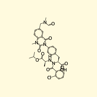 CC(C)OC(=O)[C@H](C)NN(C(=O)c1c(Cl)cccc1Cl)[C@@H](Cc1ccc(-n2c(=O)c3cc(CN(C)C=O)ccc3n(C)c2=O)cc1)C(=O)O